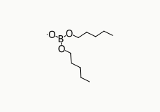 CCCCCOB([O])OCCCCC